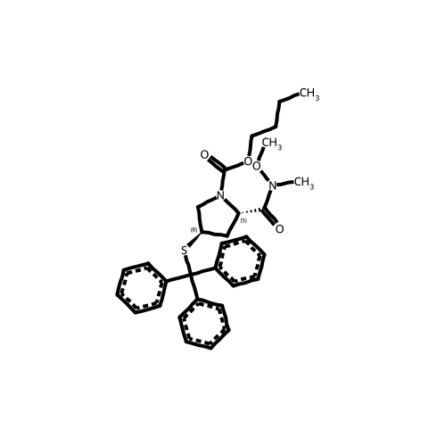 CCCCOC(=O)N1C[C@H](SC(c2ccccc2)(c2ccccc2)c2ccccc2)C[C@H]1C(=O)N(C)OC